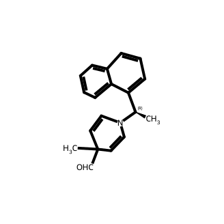 C[C@H](c1cccc2ccccc12)N1C=CC(C)(C=O)C=C1